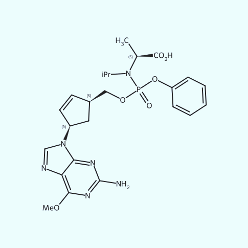 COc1nc(N)nc2c1ncn2[C@H]1C=C[C@@H](COP(=O)(Oc2ccccc2)N(C(C)C)[C@@H](C)C(=O)O)C1